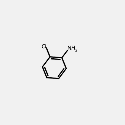 Nc1ccc[c]c1Cl